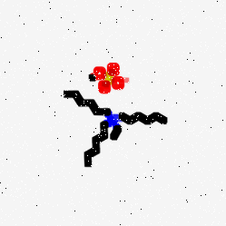 CCCCCC[N+](CC)(CCCCCC)CCCCCC.COS(=O)(=O)[O-]